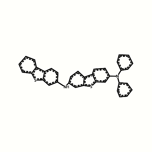 c1ccc(N(c2ccccc2)c2ccc3c(c2)sc2cc(Nc4ccc5c(c4)sc4ccccc45)ccc23)cc1